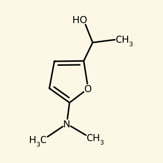 CC(O)c1ccc(N(C)C)o1